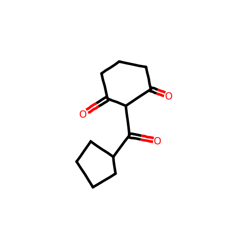 O=C1CCCC(=O)C1C(=O)C1CCCC1